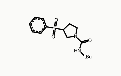 CC(C)(C)NC(=O)N1CCC(S(=O)(=O)c2ccccc2)C1